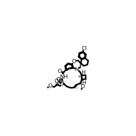 COC[C@H](O)C[C@H]1CC/C=C/[C@H](OC)[C@@H]2CC[C@H]2CN2C[C@@]3(CCCc4cc(Cl)ccc43)COc3ccc(cc32)C(=O)NS1(=O)=O